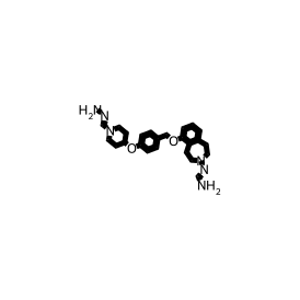 NC=NN1CCc2cccc(OCc3ccc(OC4CCN(C=NN)CC4)cc3)c2CC1